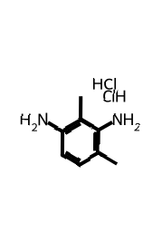 Cc1ccc(N)c(C)c1N.Cl.Cl